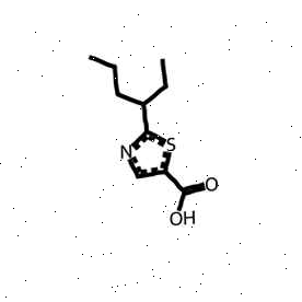 CCCC(CC)c1ncc(C(=O)O)s1